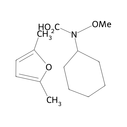 CON(C(=O)O)C1CCCCC1.Cc1ccc(C)o1